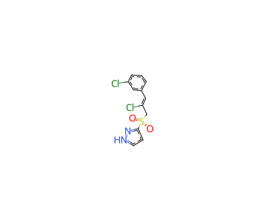 O=S(=O)(CC(Cl)=Cc1cccc(Cl)c1)c1cc[nH]n1